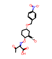 CC(=O)C(=NO[C@H]1CC[C@H](OCc2ccc([N+](=O)[O-])cc2)CC1=C=O)C(=O)O